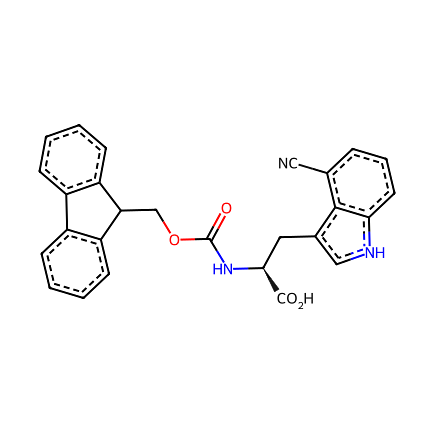 N#Cc1cccc2[nH]cc(C[C@H](NC(=O)OCC3c4ccccc4-c4ccccc43)C(=O)O)c12